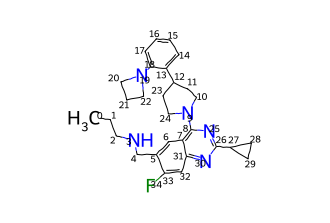 CCCNCc1cc2c(N3CCC(c4ccccc4N4CCC4)CC3)nc(C3CC3)nc2cc1F